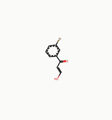 O=C(C=CO)c1cccc(Br)c1